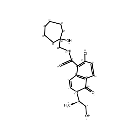 C[C@H](CO)n1ccc2c(C(=O)NCC3(O)CCCCCC3)c(Cl)ccc2c1=O